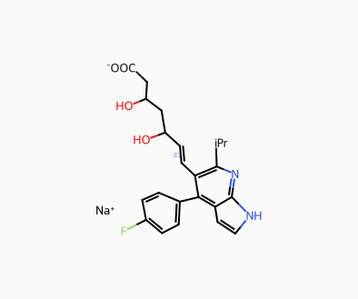 CC(C)c1nc2[nH]ccc2c(-c2ccc(F)cc2)c1/C=C/C(O)CC(O)CC(=O)[O-].[Na+]